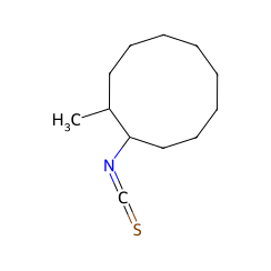 CC1CCCCCCCCC1N=C=S